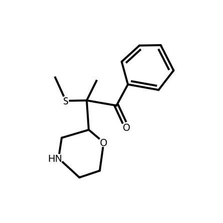 CSC(C)(C(=O)c1ccccc1)C1CNCCO1